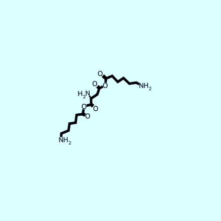 NCCCCCC(=O)OC(=O)C[C@H](N)C(=O)OC(=O)CCCCCN